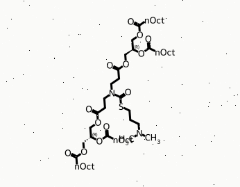 CCCCCCCCC(=O)OC[C@H](COC(=O)CCN(CCC(=O)OC[C@@H](COC(=O)CCCCCCCC)OC(=O)CCCCCCCC)C(=O)SCCCN(C)C)OC(=O)CCCCCCCC